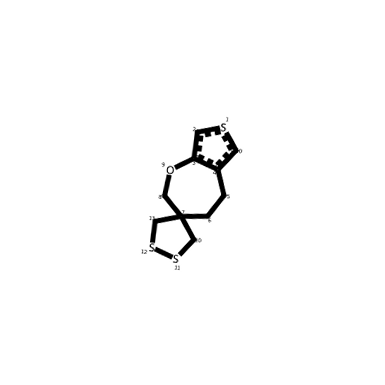 c1scc2c1CCC1(CO2)CSSC1